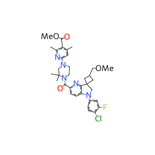 COCC1CC2(C1)CN(c1ccc(Cl)c(F)c1)c1ccc(C(=O)N3CCN(c4cc(C)c(C(=O)OC)c(C)n4)CC3(C)C)nc12